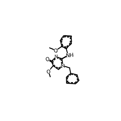 COc1ccccc1Nc1nc(=O)c(OC)cn1Cc1ccccc1